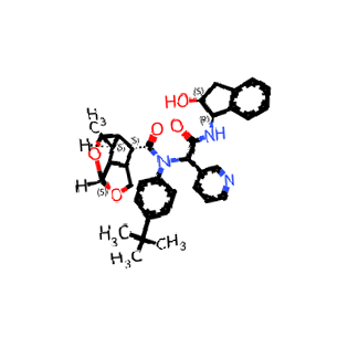 C[C@@H]1C2C3CO[C@@H]2OCC1[C@@H]3C(=O)N(c1ccc(C(C)(C)C)cc1)C(C(=O)N[C@@H]1c2ccccc2C[C@@H]1O)c1cccnc1